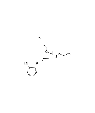 CCCCO[Si](C)(CCCOc1ccccc1N)OCCCC